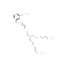 COCCOCCN(CCOCCOC)CCOCCOc1c(OC)cccc1OC